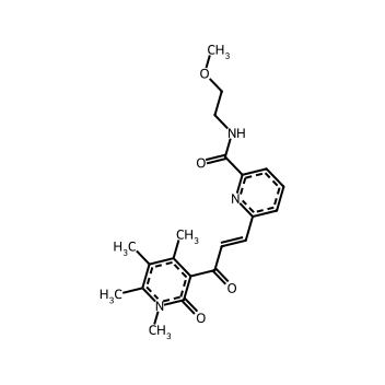 COCCNC(=O)c1cccc(/C=C/C(=O)c2c(C)c(C)c(C)n(C)c2=O)n1